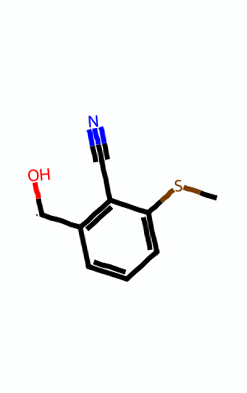 CSc1cccc([CH]O)c1C#N